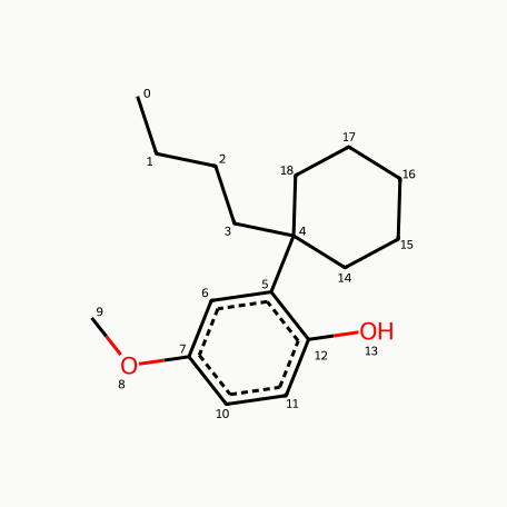 CCCCC1(c2cc(OC)ccc2O)CCCCC1